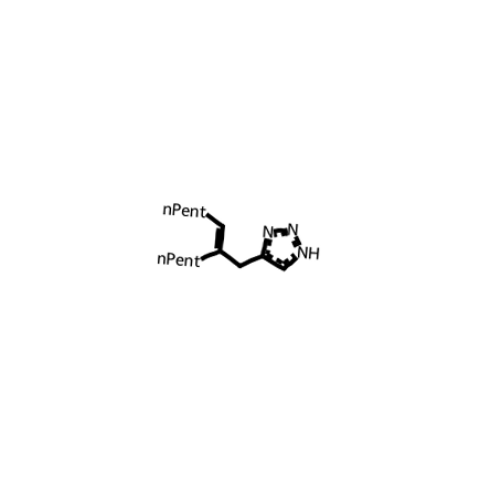 CCCCCC=C(CCCCC)Cc1c[nH]nn1